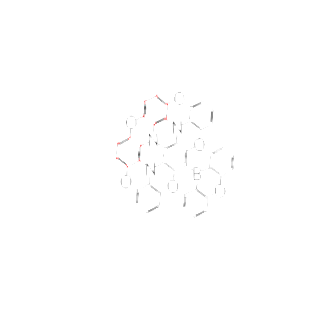 c1ccc2c(c1)Oc1ccccc1N2c1c2c3c(c(N4c5ccccc5Oc5ccccc54)c1N1c4ccccc4Oc4ccccc41)Oc1cccc4c1B3c1c(cccc1O2)O4